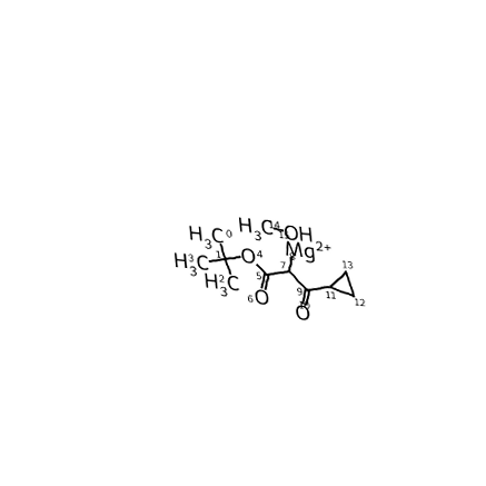 CC(C)(C)OC(=O)[CH]([Mg+2])C(=O)C1CC1.CO